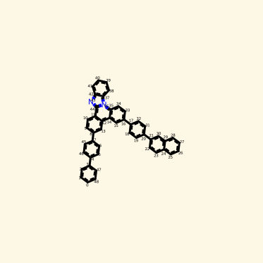 c1ccc(-c2ccc(-c3ccc4c(c3)c3cc(-c5ccc(-c6ccc7ccccc7c6)cc5)ccc3n3c5ccccc5nc43)cc2)cc1